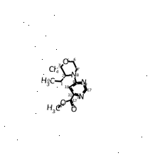 CC[C@H]1[C@H](Cl)OCCN1c1cc(C(=O)OC)ncn1